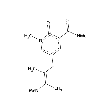 CNC(=O)c1cc(C/C(C)=C(\C)NC)cn(C)c1=O